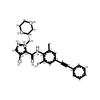 Cc1cc(C#Cc2ccccc2)cc(F)c1NC(=O)c1c(Cl)cnn1C[C@H]1COCCO1